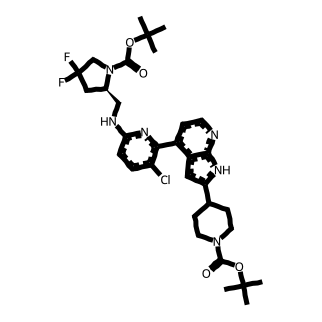 CC(C)(C)OC(=O)N1CCC(c2cc3c(-c4nc(NC[C@H]5CC(F)(F)CN5C(=O)OC(C)(C)C)ccc4Cl)ccnc3[nH]2)CC1